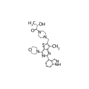 Cc1c(CN2CCN(C(=O)C(C)O)CC2)sc2c(N3CCOCC3)nc(-c3cccc4[nH]ncc34)nc12